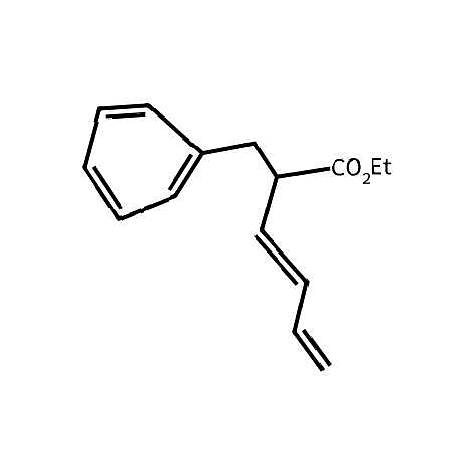 C=CC=CC(Cc1ccccc1)C(=O)OCC